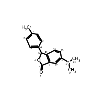 Cc1ccc(C2OC(=O)c3cc(N(C)C)ccc32)cc1